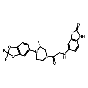 C[C@@H]1CN(C(=O)CNc2ccc3[nH]c(=O)oc3c2)CCN1c1ccc2c(c1)OC(F)(F)O2